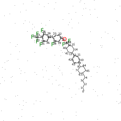 CCCCCC1CCC(c2ccc(C3CCC(C(F)(F)Oc4ccc(-c5cc(F)c(C(F)(F)F)c(F)c5)c(F)c4)CC3)cc2)CC1